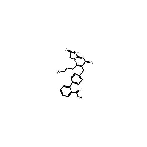 CCCCc1c(Cc2ccc(-c3ccccc3C(=O)O)cc2)c(=O)nc2n1CC(=O)N2